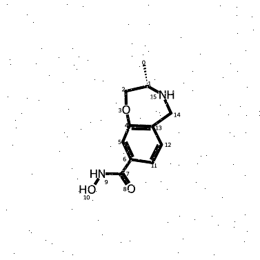 C[C@H]1COc2cc(C(=O)NO)ccc2CN1